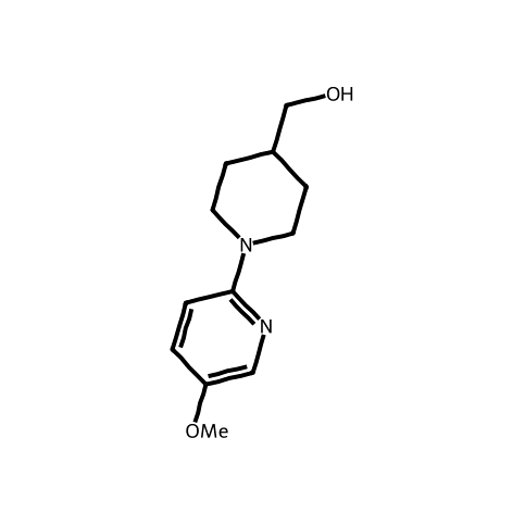 COc1ccc(N2CCC(CO)CC2)nc1